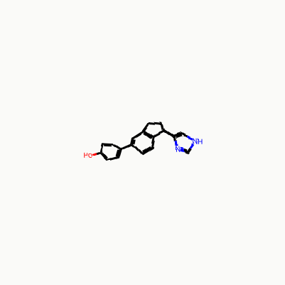 Oc1ccc(-c2ccc3c(c2)CCC3c2c[nH]cn2)cc1